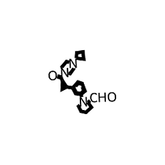 O=CC1CCCCN1c1cccc(C2CC2C(=O)N2CCN(C3CCC3)CC2)c1